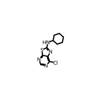 Clc1ncnc2sc(NC3CCCCC3)nc12